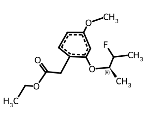 CCOC(=O)Cc1ccc(OC)cc1O[C@H](C)C(C)F